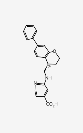 O=C(O)c1ccnc(NC[C@@H]2CCOc3cc(-c4ccccc4)ccc32)c1